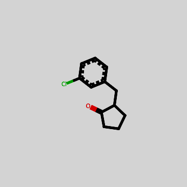 O=C1CCCC1Cc1cccc(Cl)c1